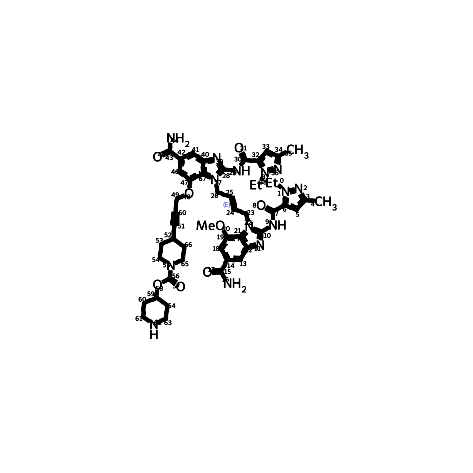 CCn1nc(C)cc1C(=O)Nc1nc2cc(C(N)=O)cc(OC)c2n1C/C=C/Cn1c(NC(=O)c2cc(C)nn2CC)nc2cc(C(N)=O)cc(OCC#CC3CCN(C(=O)OC4CCNCC4)CC3)c21